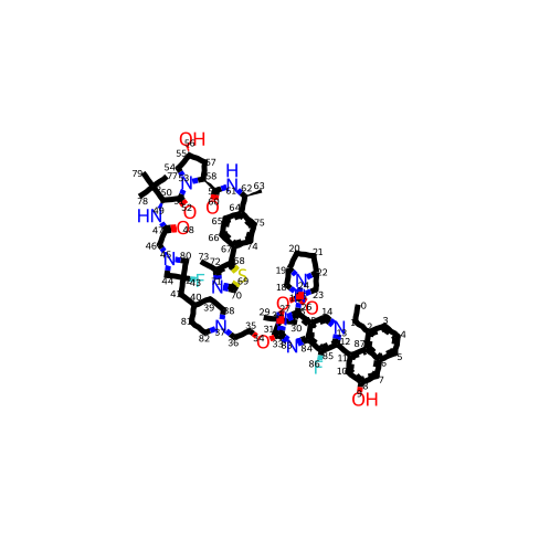 CCc1cccc2cc(O)cc(-c3ncc4c(N5CC6CCC(C5)N6C(=O)OC(C)(C)C)nc(OCCN5CCC(CC6(F)CN(CC(=O)N[C@H](C(=O)N7C[C@H](O)C[C@H]7C(=O)N[C@@H](C)c7ccc(-c8scnc8C)cc7)C(C)(C)C)C6)CC5)nc4c3F)c12